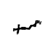 [CH2]OCCC#CC(F)(F)F